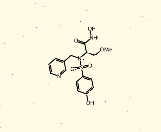 COC[C@H](C(=O)NO)N(Cc1cccnc1)S(=O)(=O)c1ccc(O)cc1